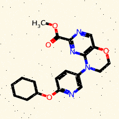 COC(=O)c1ncc2c(n1)N(c1ccc(OC3CCCCC3)nc1)CCO2